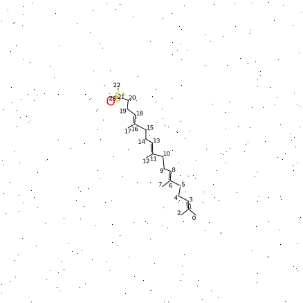 CC(C)=CCC/C(C)=C/CC/C(C)=C/CC/C(C)=C/CC[S+](C)[O-]